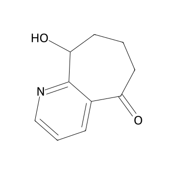 O=C1CCCC(O)c2ncccc21